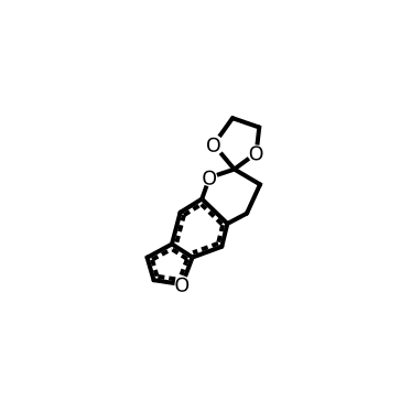 c1cc2cc3c(cc2o1)CCC1(OCCO1)O3